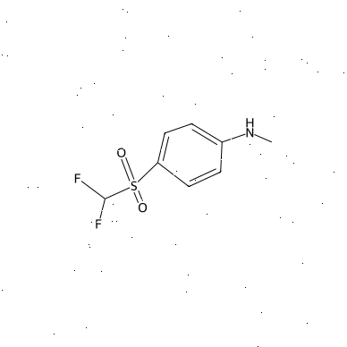 CNc1ccc(S(=O)(=O)C(F)F)cc1